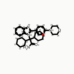 NC(=O)C(C1CCCCC1)(C1CCCCC1)n1c(-c2ccc(N3CCOCC3)nc2)nc2ccccc21